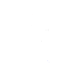 CC12CCC3[C@@H](CCC4OC(=O)CCC43C)C1CC=C2c1cccnc1